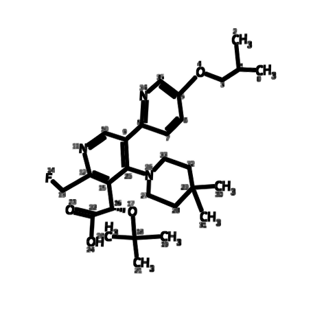 CC(C)COc1ccc(-c2cnc(CF)c([C@H](OC(C)(C)C)C(=O)O)c2N2CCC(C)(C)CC2)nc1